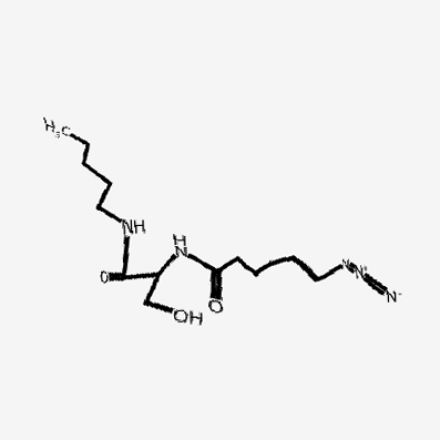 CCCCCNC(=O)C(CO)NC(=O)CCCCN=[N+]=[N-]